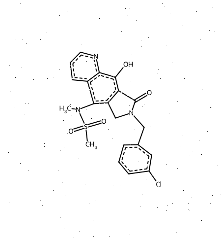 CN(c1c2c(c(O)c3ncccc13)C(=O)N(Cc1cccc(Cl)c1)C2)S(C)(=O)=O